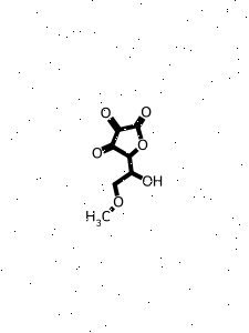 COCC(O)C1OC(=O)C(=O)C1=O